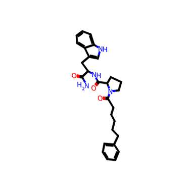 NC(=O)C(Cc1c[nH]c2ccccc12)NC(=O)C1CCCN1C(=O)CCCCCc1ccccc1